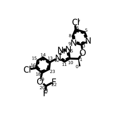 C[C@H](Oc1ncc(Cl)cn1)c1cn(-c2ccc(Cl)c(OC(F)F)c2)nn1